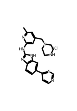 Cc1cc(CN2CCNCC2)cc(Nc2nc3ccc(-c4ccncn4)cc3[nH]2)n1.Cl